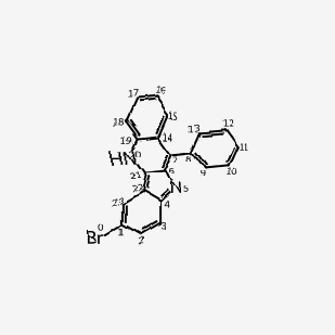 Brc1ccc2nc3c(-c4ccccc4)c4ccccc4[nH]c-3c2c1